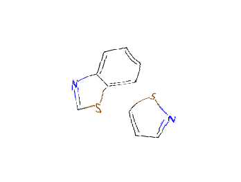 c1ccc2scnc2c1.c1cnsc1